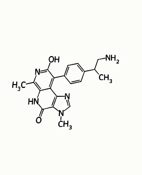 Cc1nc(O)c(-c2ccc(C(C)CN)cc2)c2c1[nH]c(=O)c1c2ncn1C